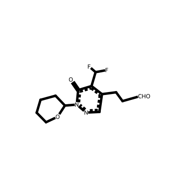 O=CCCc1cnn(C2CCCCO2)c(=O)c1C(F)F